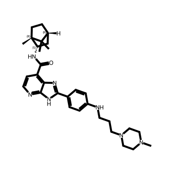 CN1CCN(CCCNc2ccc(-c3nc4c(C(=O)N[C@H]5C[C@H]6CC[C@]5(C)C6(C)C)ccnc4[nH]3)cc2)CC1